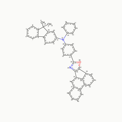 CC1(C)c2ccccc2-c2ccc(N(c3ccccc3)c3ccc(-c4nc5c(o4)-c4cccc6c4c-5cc4ccccc46)cc3)cc21